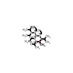 CC(C)N(C(C)C)[SiH](C[SiH3])N([SiH](C[SiH3])N(C(C)C)C(C)C)[SiH](C[SiH3])N(C(C)C)C(C)C